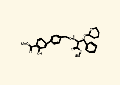 COC(=O)c1ccc(-c2ccc(CCNC(C(=O)OC(C)(C)C)[C@H](OC3CCCCO3)c3ccccc3)cc2)cc1O